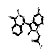 Cc1c(-c2nn(C)c(=O)c3ccccc23)c2cc(Cl)ccc2n1CC(=O)O